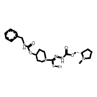 CCS/C(=N\NC(=O)OC[C@@H]1CCCN1C)N1CCC(OC(=O)NCc2ccccc2)CC1